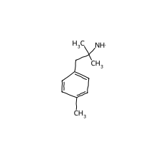 Cc1ccc(CC(C)(C)[NH])cc1